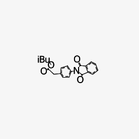 CCC(C)OC(=O)Cc1ccc(N2C(=O)c3ccccc3C2=O)cc1